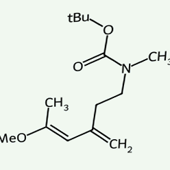 C=C(/C=C(\C)OC)CCN(C)C(=O)OC(C)(C)C